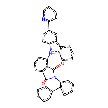 O=C1c2cccc(-n3c4ccccc4c4cc(-c5ccccn5)ccc43)c2C(=O)N1c1ccccc1-c1ccccc1